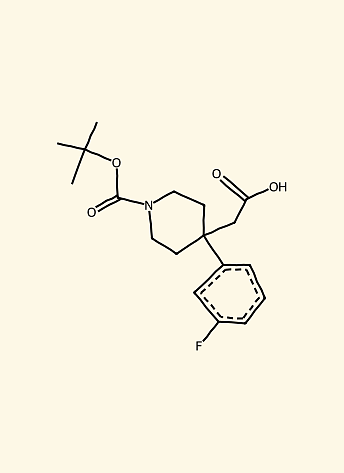 CC(C)(C)OC(=O)N1CCC(CC(=O)O)(c2cccc(F)c2)CC1